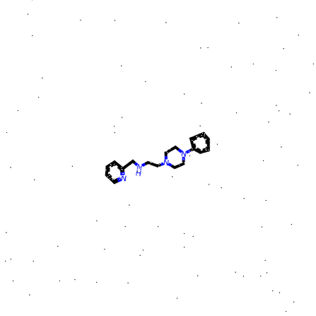 c1ccc(N2CCN(CCNCc3ccccn3)CC2)cc1